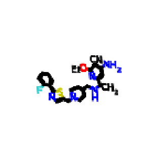 C=C(NCC1CCN(Cc2cnc(-c3ccccc3F)s2)CC1)c1cc(N)c(C#N)c(OCC)n1